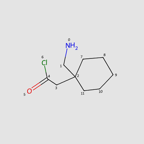 NCC1(CC(=O)Cl)CCCCC1